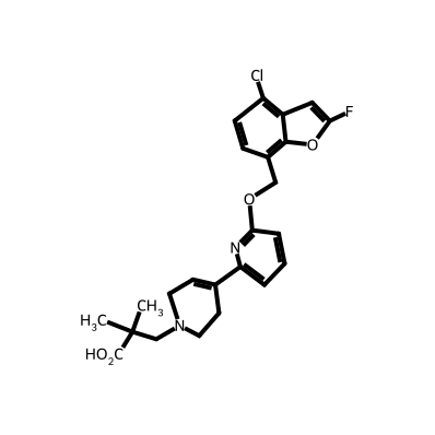 CC(C)(CN1CC=C(c2cccc(OCc3ccc(Cl)c4cc(F)oc34)n2)CC1)C(=O)O